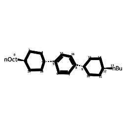 CCCCCCCC[C@H]1CC[C@H](c2ccc([C@H]3CC[C@H](CCCC)CC3)cc2)CC1